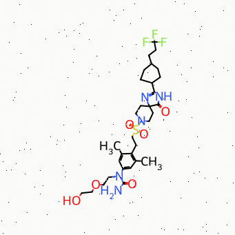 Cc1cc(N(CCOCCO)C(N)=O)cc(C)c1CCS(=O)(=O)N1CCC2(CC1)N=C(C1CCC(CCC(F)(F)F)CC1)NC2=O